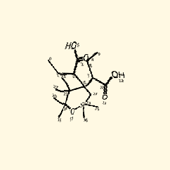 CCC(C(=O)O)C1(C(CC)C(=O)O)C[Si](C)(C)OC(C)(C)C1(C)C